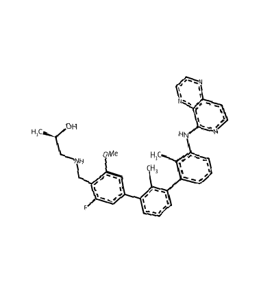 COc1cc(-c2cccc(-c3cccc(Nc4nccc5nccnc45)c3C)c2C)cc(F)c1CNC[C@@H](C)O